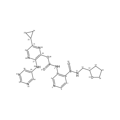 O=C(Nc1cnccc1C(=O)NCC1CCCO1)Oc1nc(C2CC2)cnc1Nc1cncnc1